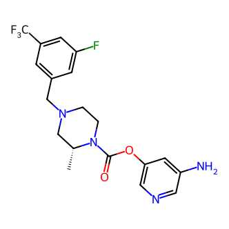 C[C@@H]1CN(Cc2cc(F)cc(C(F)(F)F)c2)CCN1C(=O)Oc1cncc(N)c1